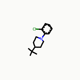 CC(C)(C)C1CCN(c2ccccc2Cl)CC1